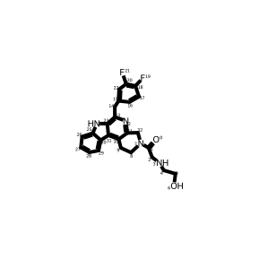 O=C(CNCCO)N1CCc2c(nc(Cc3ccc(F)c(F)c3)c3[nH]c4ccccc4c23)C1